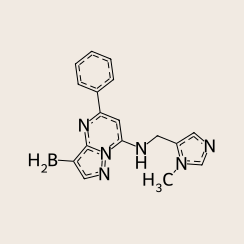 Bc1cnn2c(NCc3cncn3C)cc(-c3ccccc3)nc12